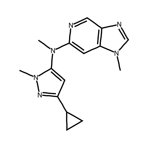 CN(c1cc2c(cn1)ncn2C)c1cc(C2CC2)nn1C